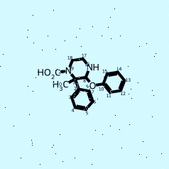 CC1(c2ccccc2)C(Oc2ccccc2)NCCN1C(=O)O